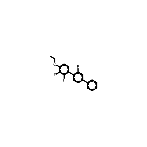 CCOc1ccc(-c2ccc(-c3ccccc3)cc2F)c(F)c1F